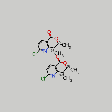 C[C@@H]1OC(=O)c2ccc(Cl)nc2[C@H]1C.C[C@H]1OC(=O)c2ccc(Cl)nc2[C@@H]1C